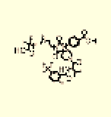 CC(C)[C@@H](NC(=O)c1cc(C(F)(F)F)ccc1F)C(=O)N1CCC2(CC1)C(=O)N(CCN(C)C)C(=O)N2c1ccc(C(=O)O)cc1.O=C(O)C(F)(F)F